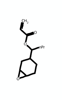 C=CC(=O)OC(CCC)C1CCC2OC2C1